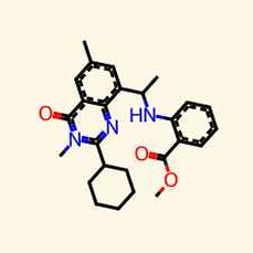 COC(=O)c1ccccc1NC(C)c1cc(C)cc2c(=O)n(C)c(C3CCCCC3)nc12